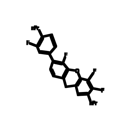 CCCc1ccc(-c2ccc3c(c2F)Oc2c(cc(CCC)c(F)c2F)C3)cc1F